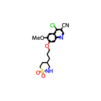 COc1cc2c(Cl)c(C#N)cnc2cc1OCCCC1CCS(=O)(=O)NC1